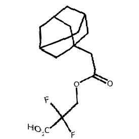 O=C(CC12CC3CC(CC(C3)C1)C2)OCC(F)(F)C(=O)O